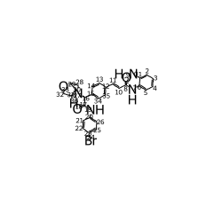 Nc1ccccc1NC(=O)C=Cc1ccc([C@@H](C(=O)Nc2ccc(Br)cc2)N2CC3C[C@H]2CO3)cc1